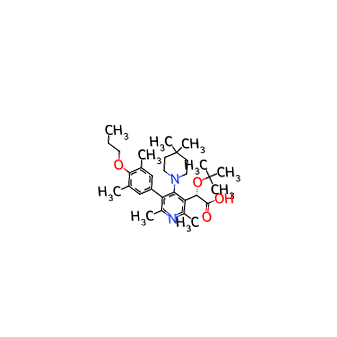 CCCOc1c(C)cc(-c2c(C)nc(C)c([C@H](OC(C)(C)C)C(=O)O)c2N2CCC(C)(C)CC2)cc1C